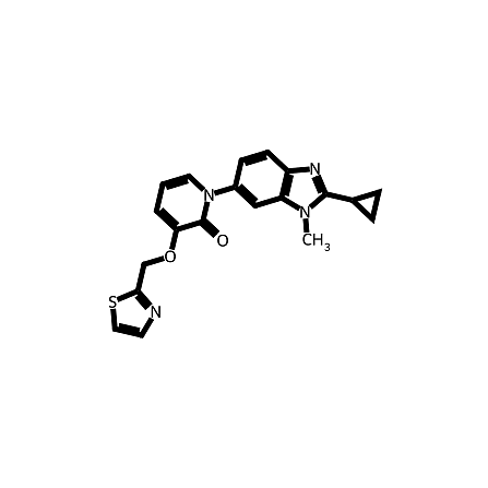 Cn1c(C2CC2)nc2ccc(-n3cccc(OCc4nccs4)c3=O)cc21